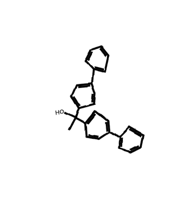 CC(O)(c1ccc(-c2ccccc2)cc1)c1ccc(-c2ccccc2)cc1